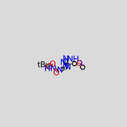 CC(C)(C)OC(=O)NCC(=O)N1CC[C@@H](n2nc(-c3ccc(Oc4ccccc4)cc3)c3c(N)ncnc32)C1